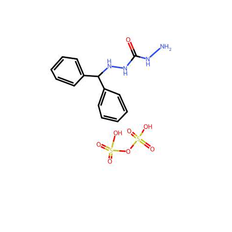 NNC(=O)NNC(c1ccccc1)c1ccccc1.O=S(=O)(O)OS(=O)(=O)O